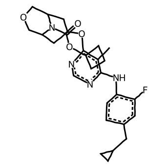 Cc1c(Nc2ccc(CC3CC3)cc2F)ncnc1OC1CC2COCC(C1)N2C(=O)OC1CCC1